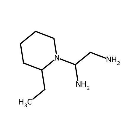 CCC1CCCCN1C(N)CN